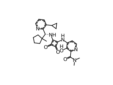 CN(C)C(=O)c1nccc(Nc2c(N[C@@H](c3ncccc3C3CC3)C3(C)CCCC3)c(=O)c2=O)c1O